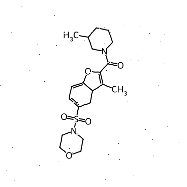 CC1=C(C(=O)N2CCCC(C)C2)OC2=CC=C(S(=O)(=O)N3CCOCC3)CC21